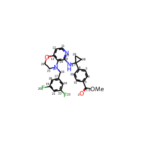 COC(=O)c1ccc(C2(Nc3nccc4c3N(Cc3cc(F)cc(F)c3)CCO4)CC2)cc1